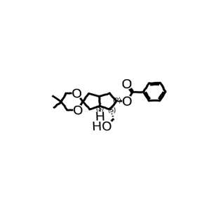 CC1(C)COC2(CC3C[C@@H](OC(=O)c4ccccc4)[C@H](CO)[C@H]3C2)OC1